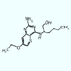 CCCCC(CO)Nc1nc(N)nc2cc(OCC)cnc12